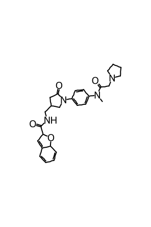 CN(C(=O)CN1CCCC1)c1ccc(N2CC(CNC(=O)C3C=C4C=CC=CC4O3)CC2=O)cc1